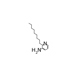 CCCCCCCCCc1ncccc1N